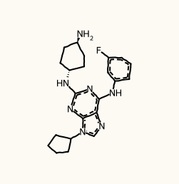 N[C@H]1CC[C@H](Nc2nc(Nc3cccc(F)c3)c3ncn(C4CCCC4)c3n2)CC1